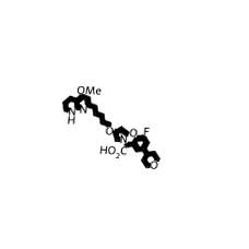 COc1cc(CCCCCO[C@@H]2CCN(C(C(=O)O)c3cc(C4CCOCC4)cc(F)c3OC)C2)nc2c1CCCN2